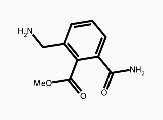 COC(=O)c1c(CN)cccc1C(N)=O